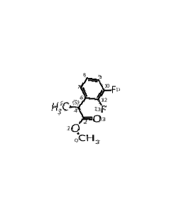 COC(=O)[C@@H](C)c1cccc(F)c1F